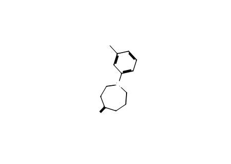 Cc1cccc(N2CCCC(=O)CC2)c1